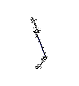 CC1=C(/C=C/C(C)=C/C=C/C(C)=C/C=C/C=C(C)/C=C/C=C(C)/C=C/C2=C(C)C(=O)C(OC(=O)CCCNC(=O)n3ccnc3)CC2(C)C)C(C)(C)CC(OC(=O)CCCNC(=O)n2ccnc2)C1=O